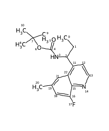 CCC(NC(=O)OC(C)(C)C)c1ccnc2c(F)cc(C)cc12